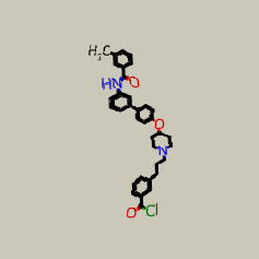 Cc1cccc(C(=O)Nc2cccc(-c3ccc(OC4CCN(CCCc5cccc(C(=O)Cl)c5)CC4)cc3)c2)c1